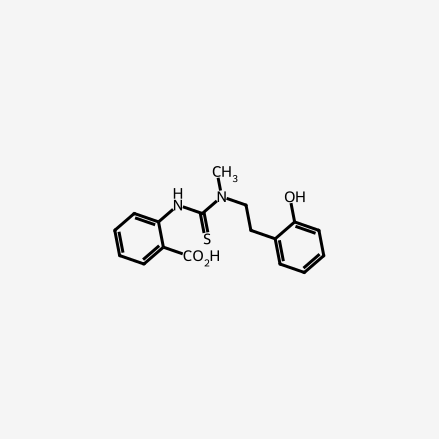 CN(CCc1ccccc1O)C(=S)Nc1ccccc1C(=O)O